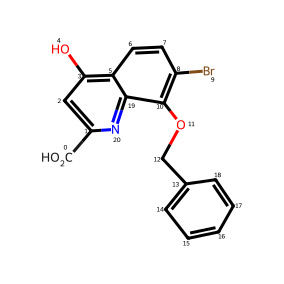 O=C(O)c1cc(O)c2ccc(Br)c(OCc3ccccc3)c2n1